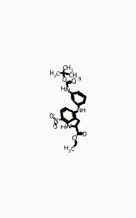 CCOC(=O)c1cc2c(Nc3cccc(NC(=O)OC(C)(C)C)c3)ccc([N+](=O)[O-])c2[nH]1